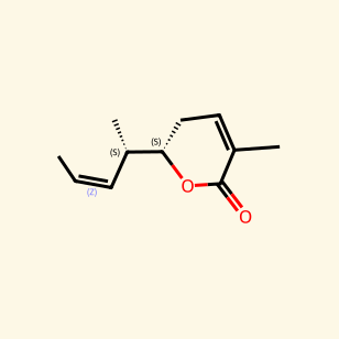 C/C=C\[C@H](C)[C@@H]1CC=C(C)C(=O)O1